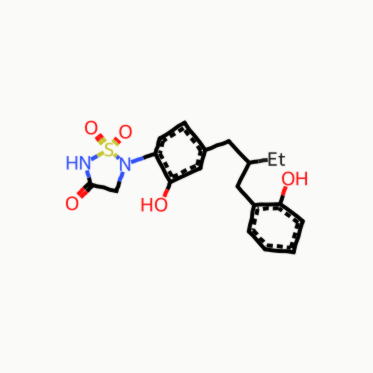 CCC(Cc1ccc(N2CC(=O)NS2(=O)=O)c(O)c1)Cc1ccccc1O